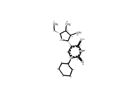 CC(=O)OC[C@H]1O[C@@H](c2cn(C3CCCCC3)c(=O)[nH]c2=O)C(OC(C)=O)C1OC(C)=O